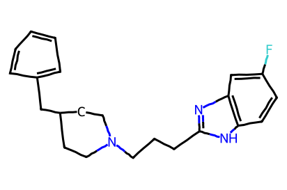 Fc1ccc2[nH]c(CCCN3CCC(Cc4ccccc4)CC3)nc2c1